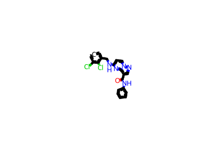 O=C(Nc1ccccc1)c1cnn2ccc(NCc3cccc(Cl)c3Cl)nc12